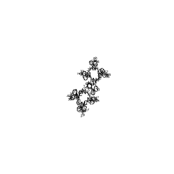 COC(=O)c1cc(CN2CCCN(C(=O)OC(C)(C)C)CCN(C(=O)OC(C)(C)C)CCCN(C(=O)OC(C)(C)C)CC2)ccc1CN1CCCN(C(=O)OC(C)(C)C)CCN(C(=O)OC(C)(C)C)CCCN(C(=O)OC(C)(C)C)CC1